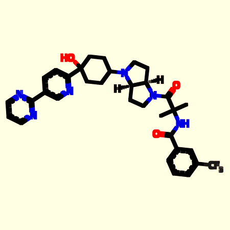 CC(C)(NC(=O)c1cccc(C(F)(F)F)c1)C(=O)N1CC[C@@H]2[C@H]1CCN2C1CCC(O)(c2ccc(-c3ncccn3)cn2)CC1